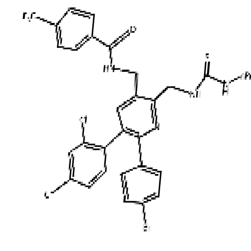 CCCNC(=S)NCc1nc(-c2ccc(Br)cc2)c(-c2ccc(Cl)cc2Cl)cc1CNC(=O)c1ccc(C(F)(F)F)cc1